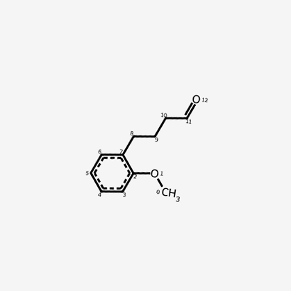 COc1ccccc1CCCC=O